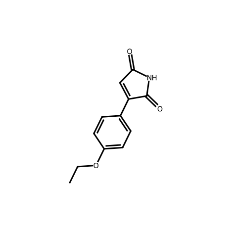 CCOc1ccc(C2=CC(=O)NC2=O)cc1